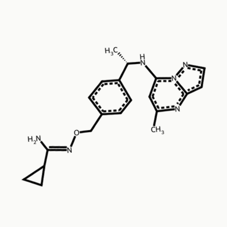 Cc1cc(N[C@@H](C)c2ccc(CO/N=C(\N)C3CC3)cc2)n2nccc2n1